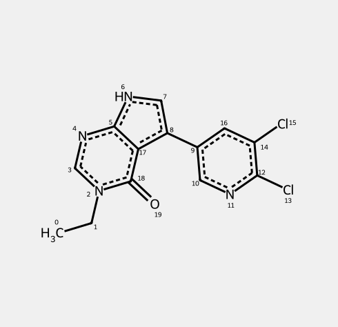 CCn1cnc2[nH]cc(-c3cnc(Cl)c(Cl)c3)c2c1=O